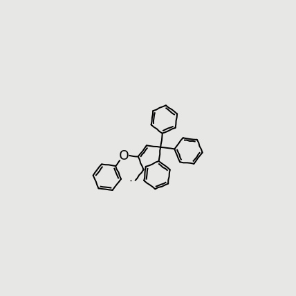 [CH2]CC(=CC(c1ccccc1)(c1ccccc1)c1ccccc1)Oc1ccccc1